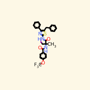 CC(CI)(NC(=O)c1ccc(OC(F)(F)F)cc1)C(=O)Nc1nc(-c2ccccc2)c(Cc2ccccc2)s1